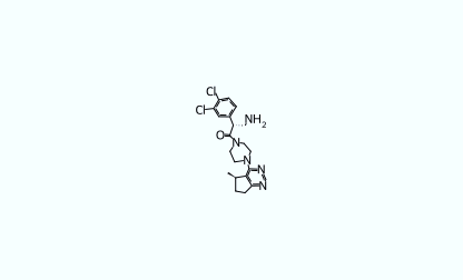 C[C@@H]1CCc2ncnc(N3CCN(C(=O)[C@@H](CN)c4ccc(Cl)c(Cl)c4)CC3)c21